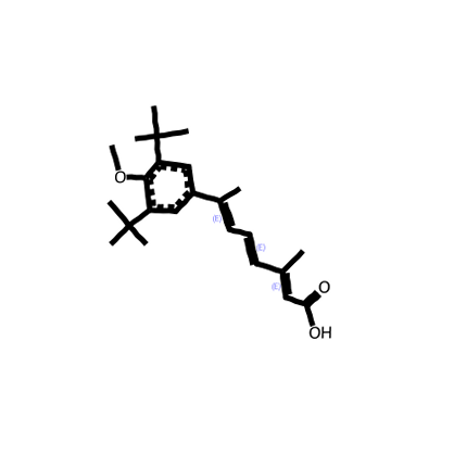 COc1c(C(C)(C)C)cc(/C(C)=C/C=C/C(C)=C/C(=O)O)cc1C(C)(C)C